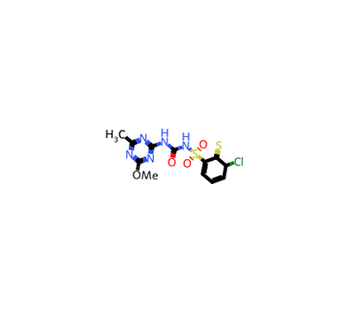 COc1nc(C)nc(NC(=O)NS(=O)(=O)C2=CC=CC(Cl)C2=S)n1